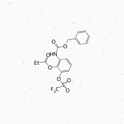 CCC(=O)Oc1c(NC(=O)OCc2ccccc2)cccc1OS(=O)(=O)C(F)(F)F